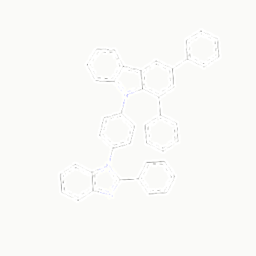 c1ccc(-c2cc(-c3ccccc3)c3c(c2)c2ccccc2n3-c2ccc(-n3c(-c4ccccc4)nc4ccccc43)cc2)cc1